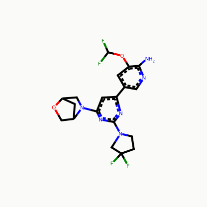 Nc1ncc(-c2cc(N3CC4CC3CO4)nc(N3CCC(F)(F)C3)n2)cc1OC(F)F